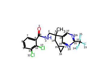 CC(CNC(=O)c1cccc(Cl)c1Cl)(CC1CC1)c1cnc(C(F)(F)F)nc1